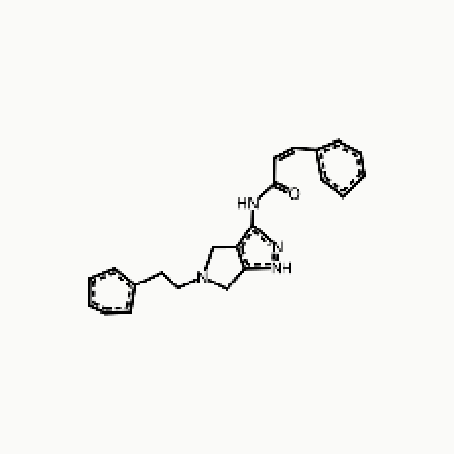 O=C(/C=C\c1ccccc1)Nc1n[nH]c2c1CN(CCc1ccccc1)C2